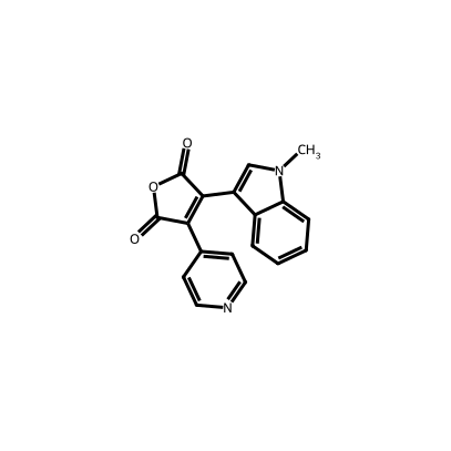 Cn1cc(C2=C(c3ccncc3)C(=O)OC2=O)c2ccccc21